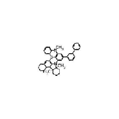 CN1c2ccccc2B2c3cc4c(c5c3N(c3cc(-c6cccc(-c7ccccc7)c6)cc1c32)C1(C)CCCC[C@@]51C)CCCC4